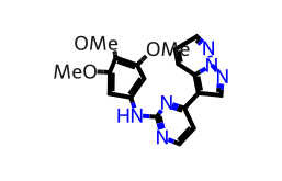 COc1cc(Nc2nccc(-c3cnn4ncccc34)n2)cc(OC)c1OC